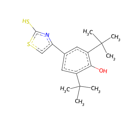 CC(C)(C)c1cc(-c2csc(S)n2)cc(C(C)(C)C)c1O